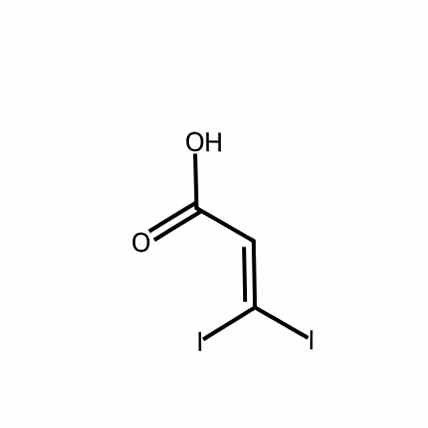 O=C(O)C=C(I)I